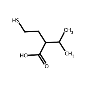 CC(C)C(CCS)C(=O)O